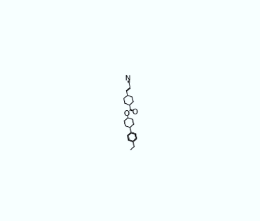 CCc1ccc(C2CCC(OC(=O)C3CCC(C=CC#N)CC3)CC2)cc1